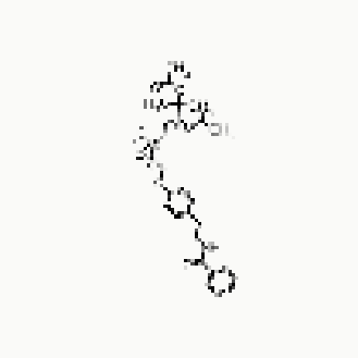 CC(=O)O[C@@H](CC[C@]1(C)O[C@@H]1COc1ccc(CCNC(=O)c2ccccc2)cc1)C(C)(C)OC(C)=O